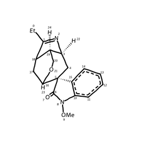 CCC1=N[C@H]2C[C@@]3(C(=O)N(OC)c4ccccc43)[C@H]3CC1[C@@H]2CO3